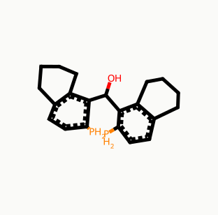 OC(c1c(P)ccc2c1CCCC2)c1c(P)ccc2c1CCCC2